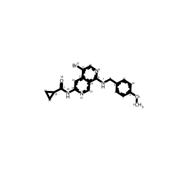 COc1ccc(CNc2ncc(Br)c3cc(NC(=O)C4CC4)ncc23)cc1